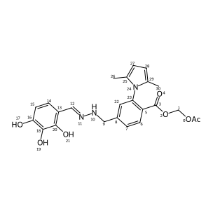 CC(=O)OCOC(=O)c1ccc(CN/N=C/c2ccc(O)c(O)c2O)cc1-n1c(C)ccc1C